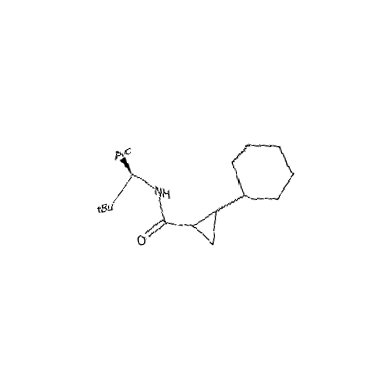 CC(=O)[C@@H](NC(=O)C1CC1C1CCCCC1)C(C)(C)C